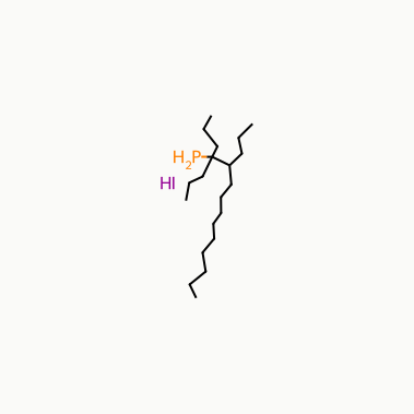 CCCCCCCCCC(CCC)C(P)(CCC)CCC.I